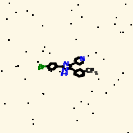 FC(F)(F)c1cccc(-c2[nH]c(-c3ccc(Br)cc3)nc2-c2ccncc2)c1